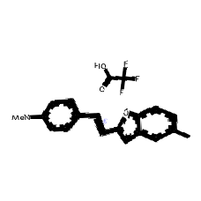 CNc1ccc(/C=C/c2cc3cc(C)ccc3o2)cc1.O=C(O)C(F)(F)F